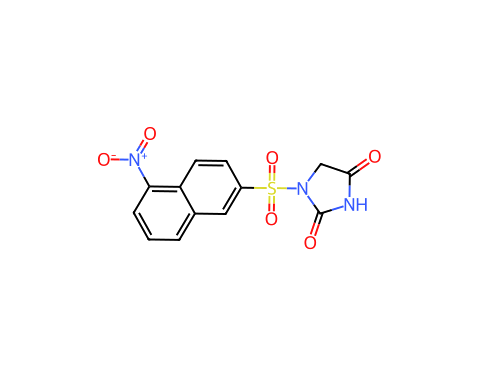 O=C1CN(S(=O)(=O)c2ccc3c([N+](=O)[O-])cccc3c2)C(=O)N1